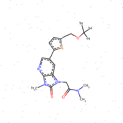 [2H]C([2H])([2H])OCc1ccc(-c2cnc3c(c2)n(CC(=O)N(C)C)c(=O)n3C)s1